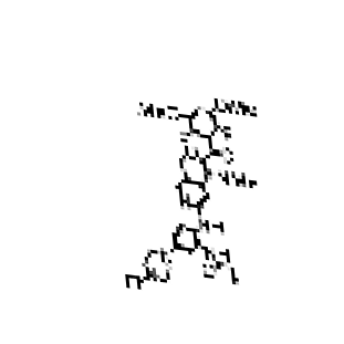 C=CC(=O)Nc1cc(N2CCN(CC)CC2)ccc1Nc1cc2c(cn1)COC(C(=O)c1c(F)c(OC)cc(OC)c1F)=C2NC